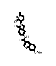 C=C1CCC(N2Cc3cc(NC(=O)c4cnc5cc(OC)ccc5c4)ccc3C2=O)C(=O)N1